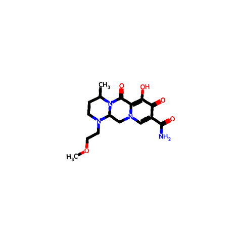 COCCN1CCC(C)N2C(=O)c3c(O)c(=O)c(C(N)=O)cn3CC12